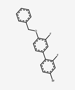 Fc1cc(-c2ccc(Br)cc2F)ccc1OCc1ccccc1